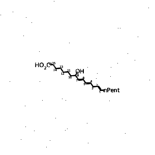 CCCCCC=CCC=CC=CC(O)CCCCCCC(=O)O